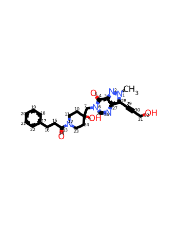 Cn1nc2c(=O)n(CC3(O)CCN(C(=O)CCc4ccccc4)CC3)cnc2c1C#CCO